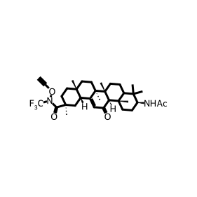 C#CON(C(=O)[C@@]1(C)CC[C@]2(C)CC[C@]3(C)C(=CC(=O)[C@@H]4[C@@]5(C)CC[C@H](NC(C)=O)C(C)(C)C5CC[C@]43C)[C@@H]2C1)C(F)(F)F